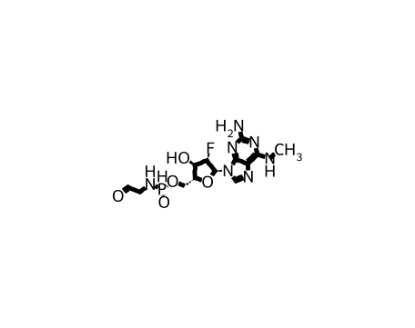 CNc1nc(N)nc2c1ncn2[C@@H]1O[C@H](CO[PH](=O)NCC=O)[C@@H](O)[C@@H]1F